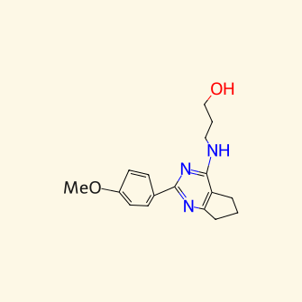 COc1ccc(-c2nc3c(c(NCCCO)n2)CCC3)cc1